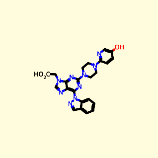 O=C(O)Cn1cnc2c(-n3ncc4ccccc43)nc(N3CCN(c4ccc(O)cn4)CC3)nc21